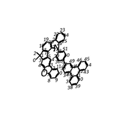 CC1(C)c2cc3oc4ccccc4c3cc2-c2c1ccc1c3ccccc3n(-c3ccc(-c4ccc5c6ccccc6c6ccccc6c5c4)cc3)c21